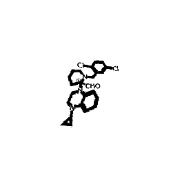 O=C[C@@]1(N2CCN(C3CC3)c3ccccc32)CCCCN1Cc1cc(Cl)ccc1Cl